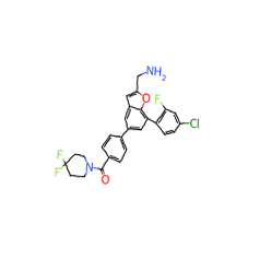 NCc1cc2cc(-c3ccc(C(=O)N4CCC(F)(F)CC4)cc3)cc(-c3ccc(Cl)cc3F)c2o1